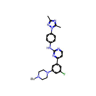 CCC(C)N1CCN(c2cc(F)cc(-c3ccnc(Nc4ccc(-n5nc(C)nc5C)cc4)n3)c2)CC1